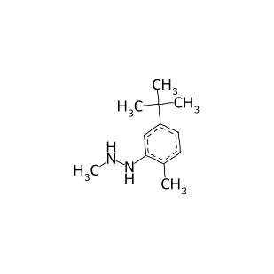 CNNc1cc(C(C)(C)C)ccc1C